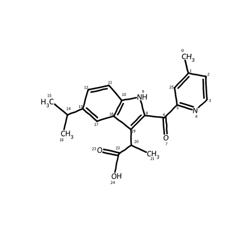 Cc1ccnc(C(=O)c2[nH]c3ccc(C(C)C)cc3c2C(C)C(=O)O)c1